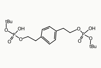 CC(C)(C)OP(=O)(O)OCCc1ccc(CCOP(=O)(O)OC(C)(C)C)cc1